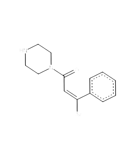 CC(=O)C(=CC(=O)N1CCNCC1)c1ccccc1